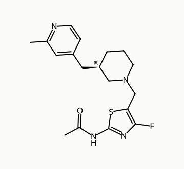 CC(=O)Nc1nc(F)c(CN2CCC[C@H](Cc3ccnc(C)c3)C2)s1